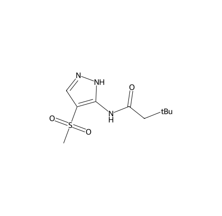 CC(C)(C)CC(=O)Nc1[nH]ncc1S(C)(=O)=O